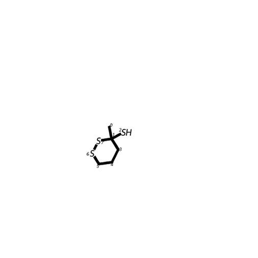 CC1(S)CCCSS1